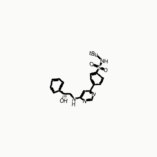 CC(C)(C)NS(=O)(=O)c1ccc(-c2cc(NC[C@H](O)c3ccccc3)ncn2)cc1